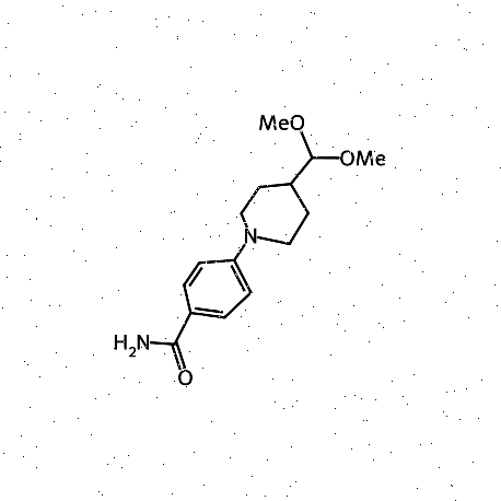 COC(OC)C1CCN(c2ccc(C(N)=O)cc2)CC1